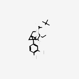 CCOC(=O)C12CN(C(=O)OC(C)(C)C)CC(F)C1(c1ccc(Cl)c(Cl)c1)C2